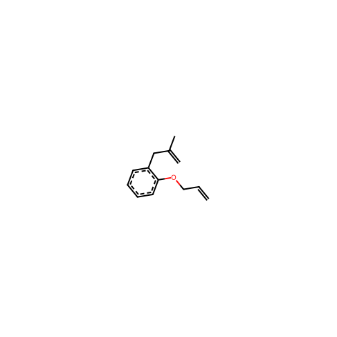 C=CCOc1ccccc1CC(=C)C